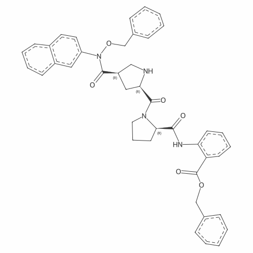 O=C(OCc1ccccc1)c1ccccc1NC(=O)[C@H]1CCCN1C(=O)[C@H]1C[C@@H](C(=O)N(OCc2ccccc2)c2ccc3ccccc3c2)CN1